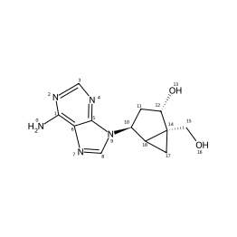 Nc1ncnc2c1ncn2[C@H]1C[C@H](O)[C@@]2(CO)CC12